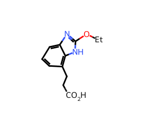 CCOc1nc2cccc(CCC(=O)O)c2[nH]1